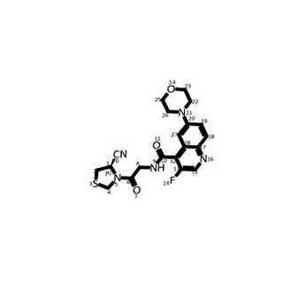 N#C[C@@H]1CSCN1C(=O)CNC(=O)c1c(F)cnc2ccc(N3CCOCC3)cc12